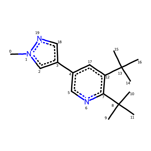 Cn1cc(-c2cnc(C(C)(C)C)c(C(C)(C)C)c2)cn1